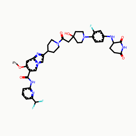 CC(C)Oc1cc2nc(C3CCN(C(=O)CC4(O)CCN(c5ccc(NC6CCC(=O)NC6=O)cc5F)CC4)CC3)cn2cc1C(=O)Nc1cccc(C(F)F)n1